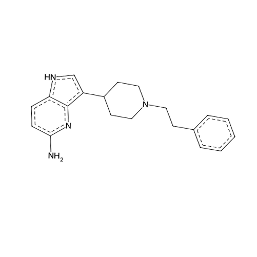 Nc1ccc2[nH]cc(C3CCN(CCc4ccccc4)CC3)c2n1